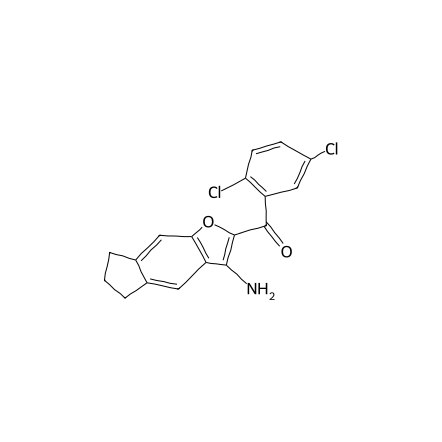 Nc1c(C(=O)c2cc(Cl)ccc2Cl)oc2cc3c(cc12)CCC3